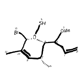 C=CC(OC)[C@@H](OS)[C@H](C)/C=C(/C)CBr